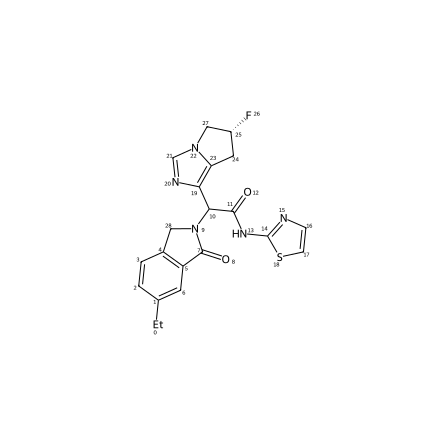 CCc1ccc2c(c1)C(=O)N(C(C(=O)Nc1nccs1)c1ncn3c1C[C@@H](F)C3)C2